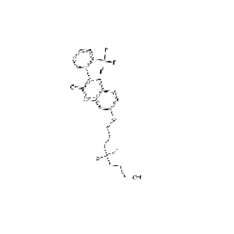 O=c1oc2cc(OCCCC(F)(F)CCCO)ccc2cc1-c1ccccc1C(F)(F)F